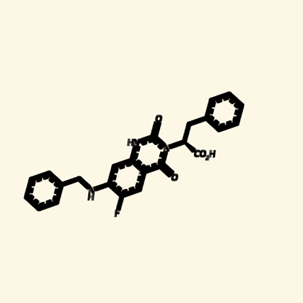 O=C(O)[C@H](Cc1ccccc1)n1c(=O)[nH]c2cc(NCc3ccccc3)c(F)cc2c1=O